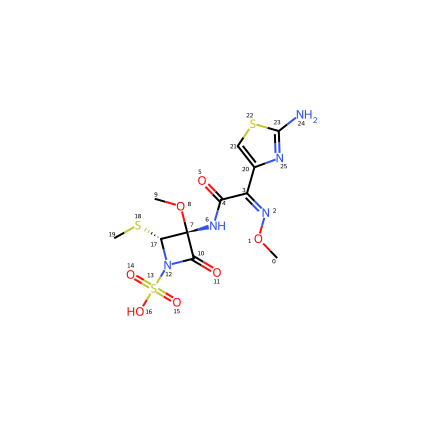 CON=C(C(=O)N[C@@]1(OC)C(=O)N(S(=O)(=O)O)[C@@H]1SC)c1csc(N)n1